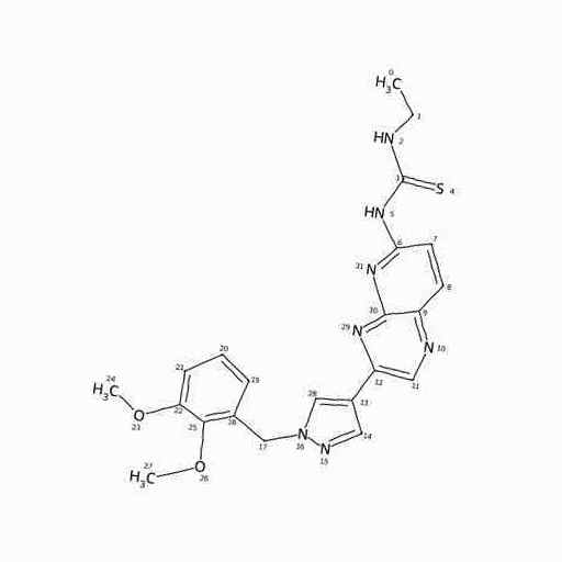 CCNC(=S)Nc1ccc2ncc(-c3cnn(Cc4cccc(OC)c4OC)c3)nc2n1